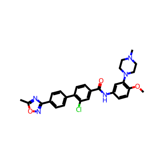 COc1ccc(NC(=O)c2ccc(-c3ccc(-c4noc(C)n4)cc3)c(Cl)c2)cc1N1CCN(C)CC1